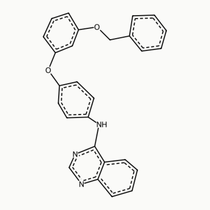 c1ccc(COc2cccc(Oc3ccc(Nc4ncnc5ccccc45)cc3)c2)cc1